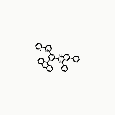 c1ccc(-c2ccc3nc(-c4cc(-c5cccc(-c6ccccn6)n5)cc(-c5c6ccccc6cc6ccccc56)c4)nc(-c4ccccc4)c3c2)cc1